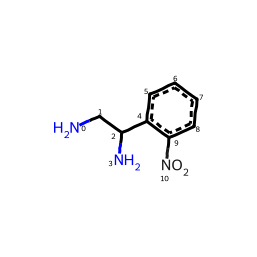 NCC(N)c1ccccc1[N+](=O)[O-]